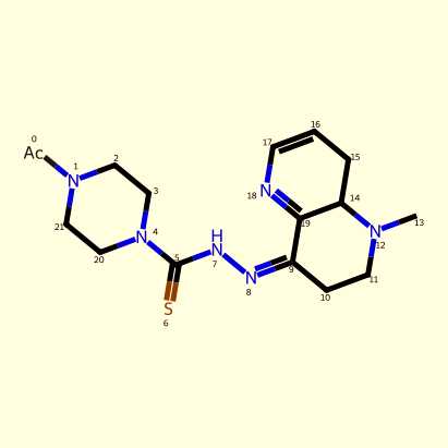 CC(=O)N1CCN(C(=S)N/N=C2/CCN(C)C3CC=CN=C23)CC1